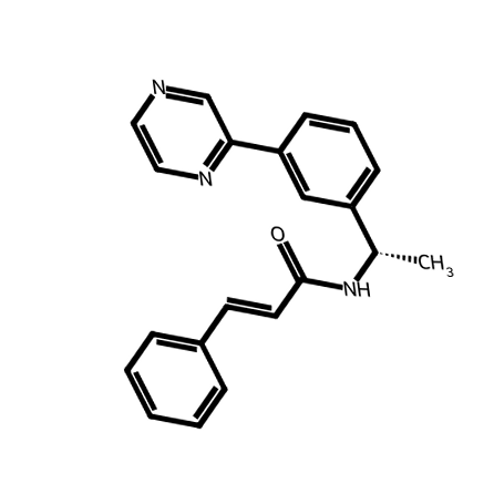 C[C@H](NC(=O)/C=C/c1ccccc1)c1cccc(-c2cnccn2)c1